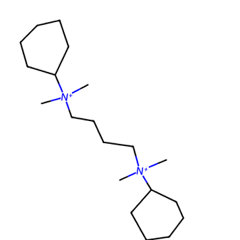 C[N+](C)(CCCC[N+](C)(C)C1CCCCC1)C1CCCCC1